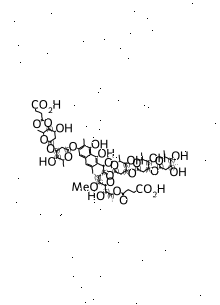 CO[C@H](C(=O)[C@@H](O)[C@@H](C)OC(=O)CCC(=O)O)[C@@H]1Cc2cc3cc(O[C@H]4C[C@@H](O[C@H]5CC(O)[C@H](OC(=O)CCC(=O)O)C(C)O5)[C@H](O)C(C)O4)c(C)c(O)c3c(O)c2C(=O)[C@H]1O[C@H]1C[C@@H](O[C@H]2C[C@@H](O[C@H]3C[C@](C)(O)[C@H](O)C(C)O3)[C@@H](O)C(C)O2)[C@H](O)C(C)O1